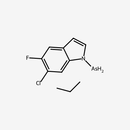 CCC.Fc1cc2ccn([AsH2])c2cc1Cl